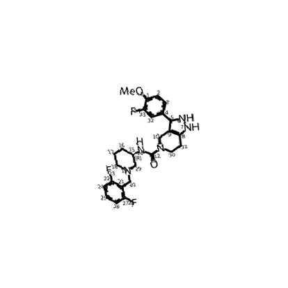 COc1ccc(C2NNC3=C2CN(C(=O)N[C@@H]2CCCN(Cc4c(F)cccc4F)C2)CC3)cc1F